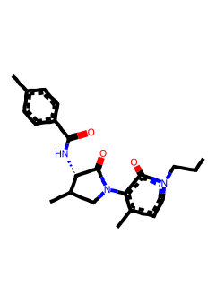 CCCn1ccc(C)c(N2CC(C)[C@H](NC(=O)c3ccc(C)cc3)C2=O)c1=O